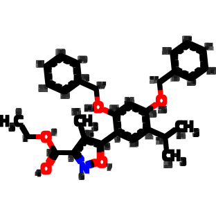 CCOC(=O)c1noc(-c2cc(C(C)C)c(OCc3ccccc3)cc2OCc2ccccc2)c1C